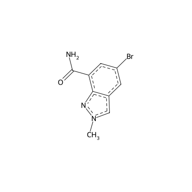 Cn1cc2cc(Br)cc(C(N)=O)c2n1